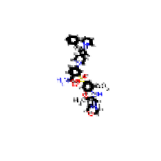 CC(C)c1ccccc1[C@@H]1CCCN1C1CC2(CCN(c3ccc(C(N)=O)c(S(=O)(=O)c4cc5c(c([N+](=O)[O-])c4)NC(CN4CCOCC4)C(C)(C)O5)c3)CC2)C1